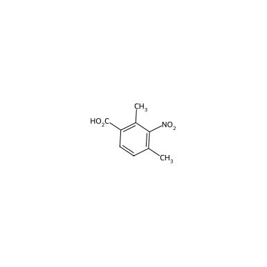 Cc1ccc(C(=O)O)c(C)c1[N+](=O)[O-]